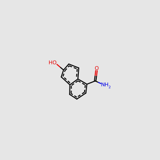 NC(=O)c1cccc2cc(O)ccc12